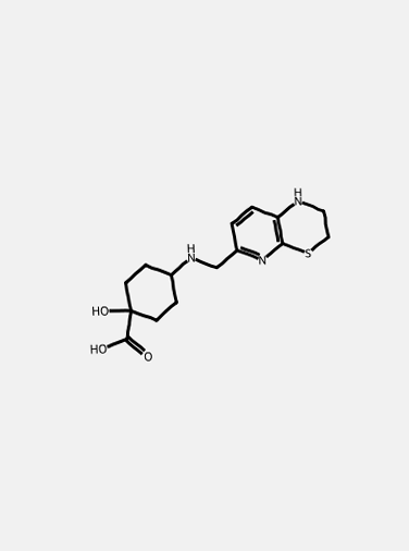 O=C(O)C1(O)CCC(NCc2ccc3c(n2)SCCN3)CC1